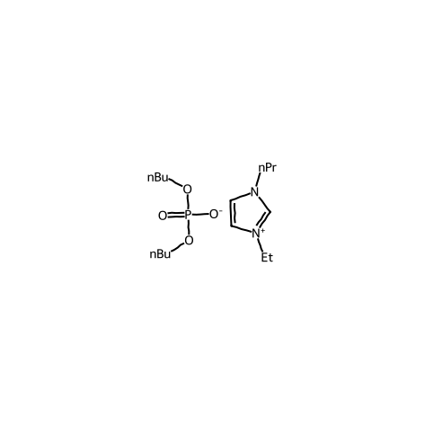 CCCCOP(=O)([O-])OCCCC.CCCn1cc[n+](CC)c1